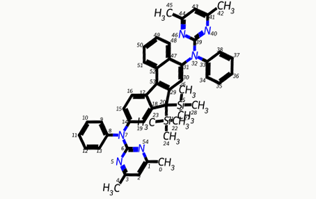 Cc1cc(C)nc(N(c2ccccc2)c2ccc3c(c2)C([Si](C)(C)C)([Si](C)(C)C)c2cc(N(c4ccccc4)c4nc(C)cc(C)n4)c4ccccc4c2-3)n1